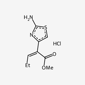 CCC=C(C(=O)OC)c1csc(N)n1.Cl